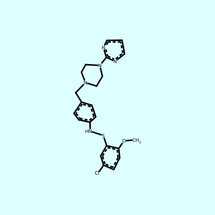 COc1ccc(Cl)cc1SNc1ccc(CN2CCN(c3ncccn3)CC2)cc1